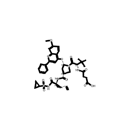 C=C[C@@H]1C[C@]1(NC(=O)[C@@H]1C[C@H](Oc2cc(-c3ccccc3)nc3cc(OC)ccc23)N(C(=O)[C@@H](NC(=O)CCC(=O)O)C(C)(C)C)C1)C(=O)NS(=O)(=O)C1CC1